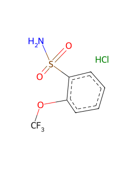 Cl.NS(=O)(=O)c1ccccc1OC(F)(F)F